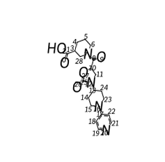 O=C(O)C1CCCN(C(=O)C2CN(C3CCN(c4ccncc4)CC3)C(=O)O2)C1